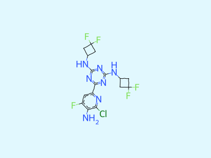 Nc1c(F)cc(-c2nc(NC3CC(F)(F)C3)nc(NC3CC(F)(F)C3)n2)nc1Cl